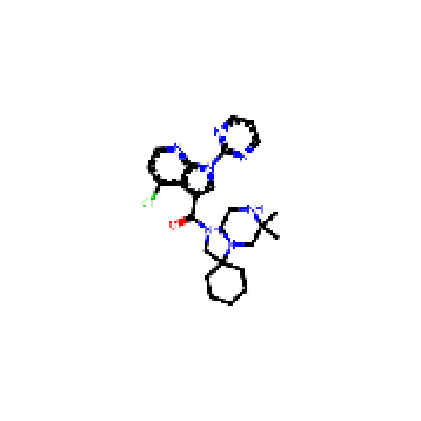 CC1(C)CN(C2(CNC(=O)c3cn(-c4ncccn4)c4nccc(Cl)c34)CCCCC2)CCN1